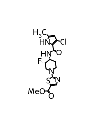 COC(=O)c1cnc(N2CC[C@@H](NC(=O)c3[nH]c(C)cc3Cl)[C@@H](F)C2)s1